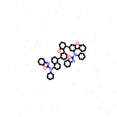 c1ccc(N(c2nc3ccccc3o2)c2cccc3c(-c4cccc5c4oc4cccc(-c6cc(N(c7ccccc7)c7nc8ccccc8o7)c7c(c6)oc6ccccc67)c45)cccc23)cc1